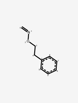 C=NOCCc1ccccc1